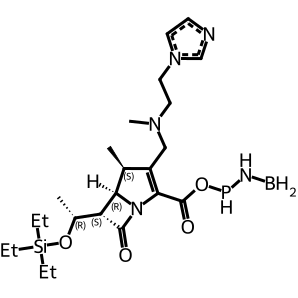 BNPOC(=O)C1=C(CN(C)CCn2ccnc2)[C@H](C)[C@@H]2[C@@H]([C@@H](C)O[Si](CC)(CC)CC)C(=O)N12